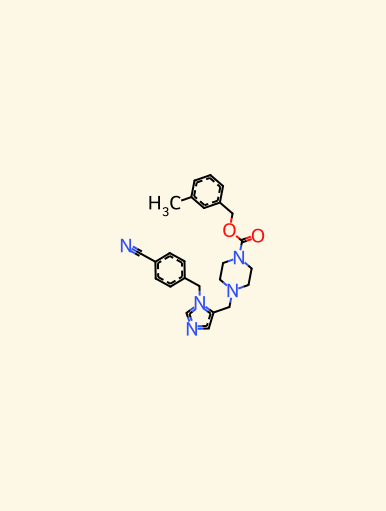 Cc1cccc(COC(=O)N2CCN(Cc3cncn3Cc3ccc(C#N)cc3)CC2)c1